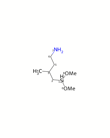 CO[SiH](CC(C)CCN)OC